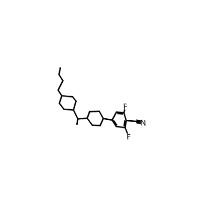 CCCCC1CCC(C(C)C2CCC(c3cc(F)c(C#N)c(F)c3)CC2)CC1